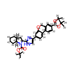 CC(C)(C)OC(=O)N1C(c2nc(-c3ccc4c(c3)OCc3cc(B5OC(C)(C)C(C)(C)O5)ccc3-4)c[nH]2)C[C@@H]2CCCC[C@@H]21